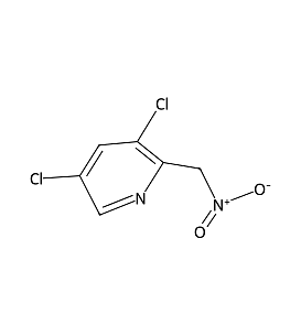 O=[N+]([O-])Cc1ncc(Cl)cc1Cl